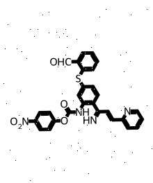 N=C(/C=C/c1ccccn1)c1ccc(Sc2ccccc2C=O)cc1NC(=O)Oc1ccc([N+](=O)[O-])cc1